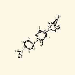 Cc1nc(-c2ccc(-c3ccc(C(=O)Cl)cc3)c(C)c2)no1